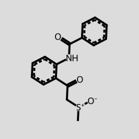 C[S+]([O-])CC(=O)c1ccccc1NC(=O)c1ccccc1